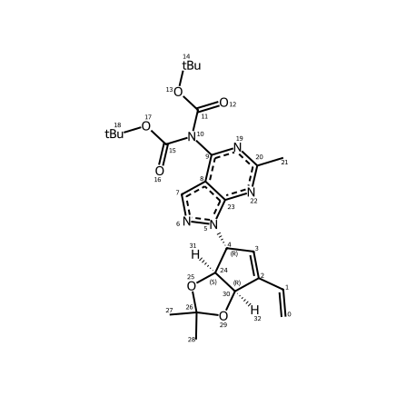 C=CC1=C[C@@H](n2ncc3c(N(C(=O)OC(C)(C)C)C(=O)OC(C)(C)C)nc(C)nc32)[C@@H]2OC(C)(C)O[C@H]12